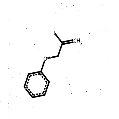 C=C(I)COc1ccccc1